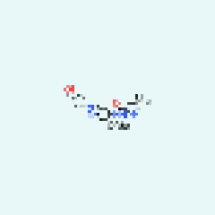 COc1cc2nn([C@H]3CC[C@H](CO)CC3)cc2cc1NC(=O)c1cncc(C(F)(F)F)c1